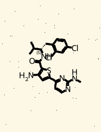 CNc1nccc(-c2cc(N)c(C(=O)N[C@@H](Cc3ccc(Cl)cc3Cl)C(C)C)s2)n1